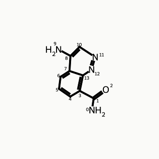 NC(=O)c1cccc2c(N)cnnc12